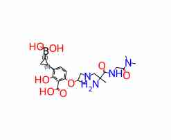 CN(C)C(=O)CNC(=O)C(C)(N)CN1CC(Oc2ccc([C@H]3C[C@H]3B(O)O)c(O)c2C(=O)O)C1